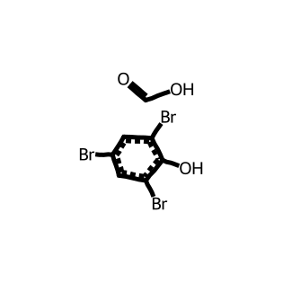 O=CO.Oc1c(Br)cc(Br)cc1Br